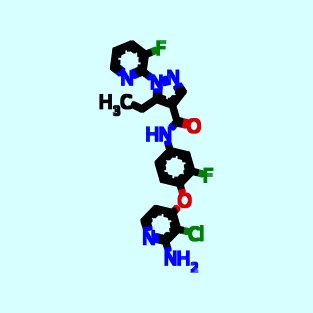 CCc1c(C(=O)Nc2ccc(Oc3ccnc(N)c3Cl)c(F)c2)cnn1-c1ncccc1F